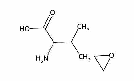 C1CO1.CC(C)[C@H](N)C(=O)O